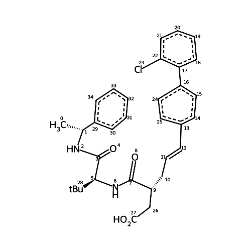 C[C@@H](NC(=O)[C@@H](NC(=O)[C@H](C/C=C/c1ccc(-c2ccccc2Cl)cc1)CC(=O)O)C(C)(C)C)c1ccccc1